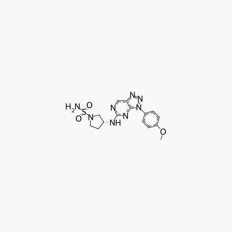 COc1ccc(-n2nnc3cnc(N[C@@H]4CCN(S(N)(=O)=O)C4)nc32)cc1